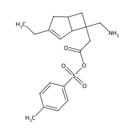 CCC1=CC2C(C1)CC2(CN)CC(=O)OS(=O)(=O)c1ccc(C)cc1